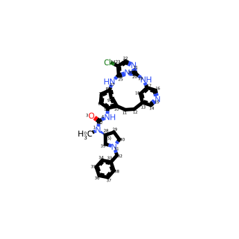 CN(C(=O)Nc1ccc2cc1CCc1cncc(c1)Nc1ncc(Cl)c(n1)N2)[C@H]1CCN(Cc2ccccc2)C1